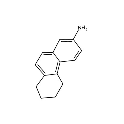 Nc1ccc2c3c(ccc2c1)CCCC3